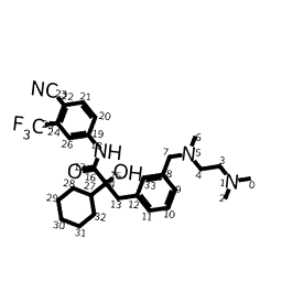 CN(C)CCN(C)Cc1cccc(CC(O)(C(=O)Nc2ccc(C#N)c(C(F)(F)F)c2)C2CCCCC2)c1